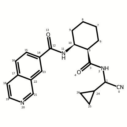 N#CC(NC(=O)[C@@H]1CCCC[C@@H]1NC(=O)c1ccc2ccncc2c1)C1CC1